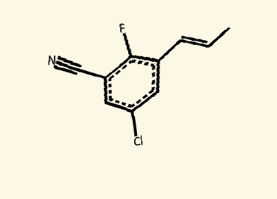 C/C=C/c1cc(Cl)cc(C#N)c1F